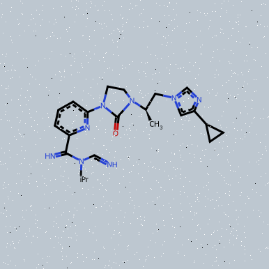 CC(C)N(C=N)C(=N)c1cccc(N2CCN([C@H](C)Cn3cnc(C4CC4)c3)C2=O)n1